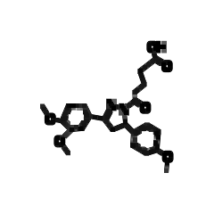 COc1ccc(C2CC(c3ccc(OC)c(OC)c3)=NN2C(=O)CCCC(=O)O)cc1